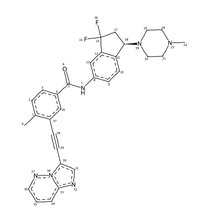 Cc1ccc(C(=O)Nc2ccc3c(c2)C(F)(F)C[C@H]3N2CCN(C)CC2)cc1C#Cc1cnc2cccnn12